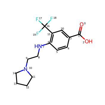 O=C(O)c1ccc(NCCN2CCCC2)c(C(F)(F)F)c1